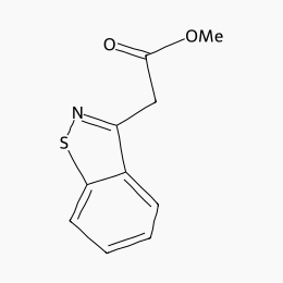 COC(=O)Cc1nsc2ccccc12